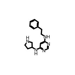 c1ccc(CCNc2cc(NC3CCNC3)ncn2)cc1